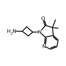 CC1(C)C(=O)N(C2CC(N)C2)c2ncccc21